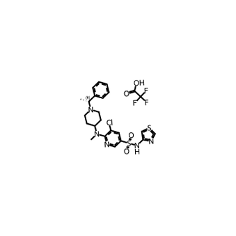 C[C@H](c1ccccc1)N1CCC(N(C)c2ncc(S(=O)(=O)Nc3cscn3)cc2Cl)CC1.O=C(O)C(F)(F)F